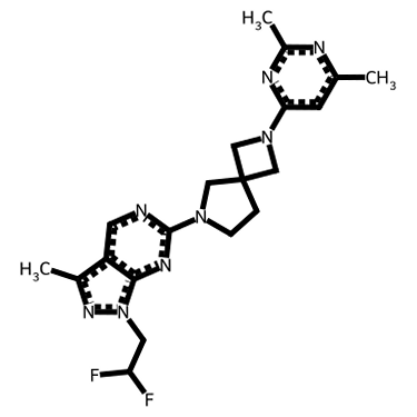 Cc1cc(N2CC3(CCN(c4ncc5c(C)nn(CC(F)F)c5n4)C3)C2)nc(C)n1